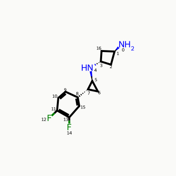 N[C@H]1C[C@H](N[C@H]2C[C@@H]2c2ccc(F)c(F)c2)C1